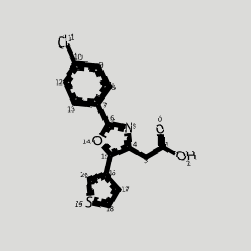 O=C(O)Cc1nc(-c2ccc(Cl)cc2)oc1-c1ccsc1